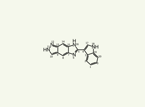 c1ccc2c(-c3nc4cc5c[nH]nc5cc4[nH]3)c[nH]c2c1